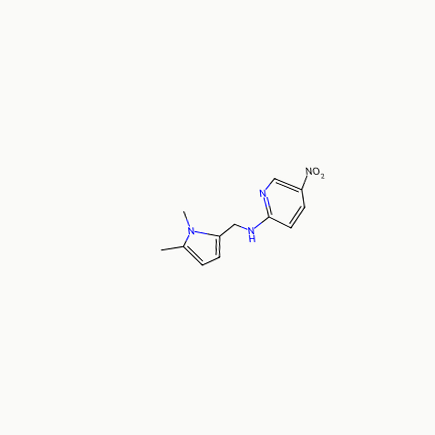 Cc1ccc(CNc2ccc([N+](=O)[O-])cn2)n1C